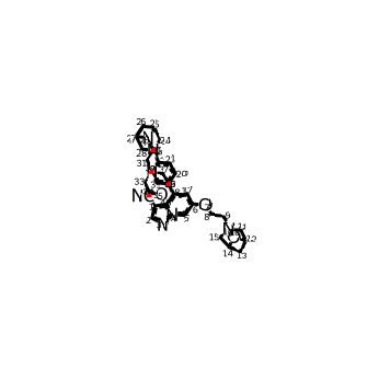 N#Cc1cnn2cc(OCCN3CC4CC(C3)O4)cc(-c3ccc(N4CC5CC(C4)N5CCN4CCOCC4)nc3)c12